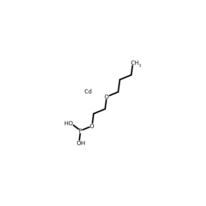 CCCCOCCOP(O)O.[Cd]